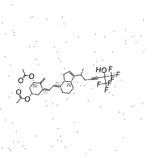 C=C1/C(=C\C=C2/CCC[C@]3(C)C(C(C)CC#CC(O)(C(F)(F)F)C(F)(F)F)=CCC23)CC(OC(C)=O)C[C@@H]1OC(C)=O